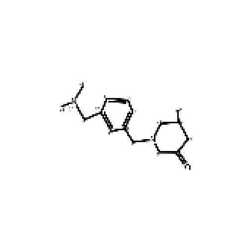 CC1CC(=O)CN(Cc2cccc(CN(C)C)c2)C1